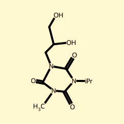 CC(C)n1c(=O)n(C)c(=O)n(CC(O)CO)c1=O